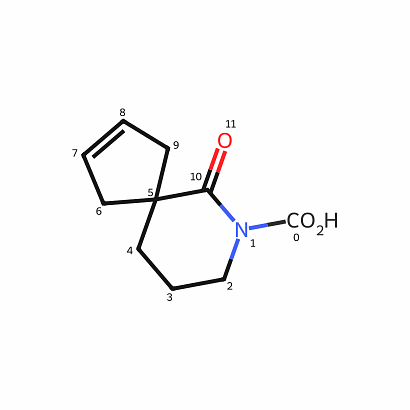 O=C(O)N1CCCC2(CC=CC2)C1=O